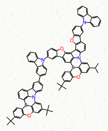 CC(C)c1cc2c3c(c1)-n1c4ccc5c6cc(-n7c8ccccc8c8ccccc87)ccc6oc5c4c4c5oc6ccc(-n7c8ccccc8c8cc(-c9ccc%10c(c9)c9cccc%11c9n%10-c9cc(C(C)(C)C)cc%10c9B%11c9ccc(C(C)(C)C)cc9O%10)ccc87)cc6c5cc(c41)B3c1ccc(C(C)(C)C)cc1O2